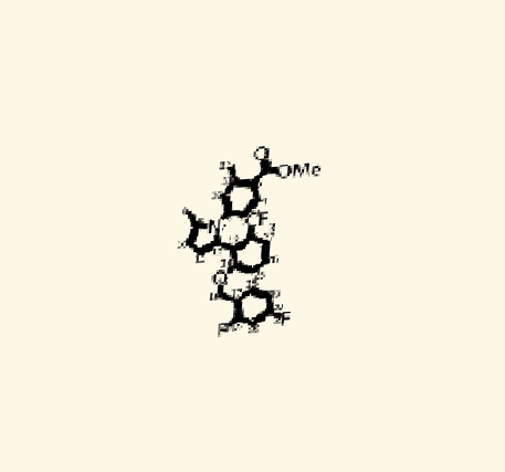 COC(=O)c1ccc(-n2c(C)ccc2-c2c(OCc3ccc(F)cc3F)cccc2C(F)(F)F)cc1C